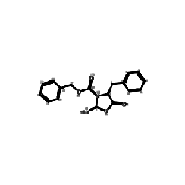 CC(C)(C)C1OC(=O)C(Cc2ccccc2)N1C(=O)OCc1ccccc1